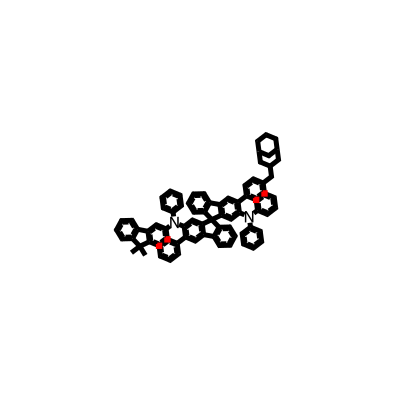 CC1(C)c2ccccc2-c2cc(N(c3ccccc3)c3cc4c(cc3-c3ccccc3)-c3ccccc3C43c4ccccc4-c4cc(-c5ccc(CC6CC7CCCC(C7)C6)cc5)c(N(c5ccccc5)c5ccccc5)cc43)ccc21